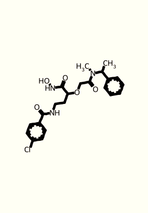 CC(c1ccccc1)N(C)C(=O)COC(CCNC(=O)c1ccc(Cl)cc1)C(=O)NO